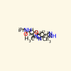 CC(C)NC(=O)c1cccc([C@@H](C)n2cnc3cc(-c4cn[nH]c4C(F)(F)F)ccc3c2=O)c1